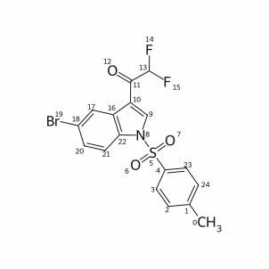 Cc1ccc(S(=O)(=O)n2cc(C(=O)C(F)F)c3cc(Br)ccc32)cc1